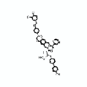 N#Cc1ccc(-c2ccc(C[C@H](NC(=O)C3Cc4cc5c(cc4CN3C(=O)c3cnccn3)O[C@@H](c3ccc(OCc4ccc(Cl)c(Cl)c4)cc3)CO5)C(=O)O)cc2)cc1